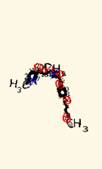 COCCCCOc1ccc(OCC2CN(C(C)CC(O)c3ccc(C)nc3)CO2)cc1